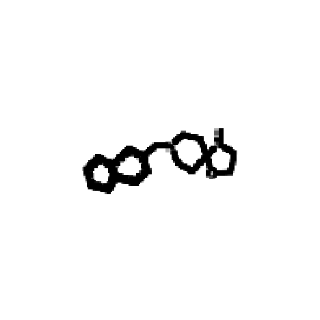 c1ccc2cc(CN3CCC4(CC3)NCCO4)ccc2c1